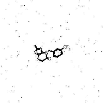 Cc1nc2c(s1)N(Cc1cccc(C(F)(F)F)c1)C(=O)CS2